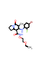 C=COCCONC(=O)c1c(Nc2ccc(Br)cc2F)c(C)c(=O)n2c1CCC2